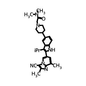 Cc1nc2c(C)cc(-c3[nH]c4ccc(C5CCN(CC(=O)N(C)C)CC5)cc4c3C(C)C)cn2c1C#N